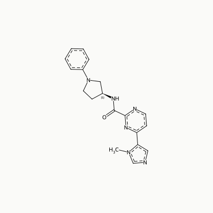 Cn1cncc1-c1ccnc(C(=O)N[C@H]2CCN(c3ccccc3)C2)n1